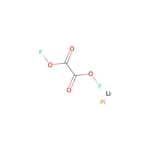 O=C(OF)C(=O)OF.[Li].[P]